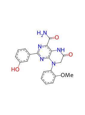 COc1ccccc1N1CC(=O)Nc2c(C(N)=O)nc(-c3cccc(O)c3)nc21